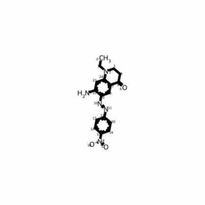 CCN1CCC(=O)c2cc(/N=N/c3ccc([N+](=O)[O-])cc3)c(N)cc21